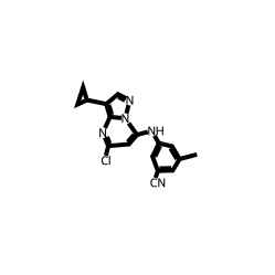 Cc1cc(C#N)cc(Nc2cc(Cl)nc3c(C4CC4)cnn23)c1